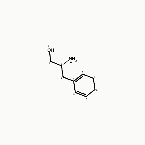 N[C@@H](CO)CC1=CCCC=C1